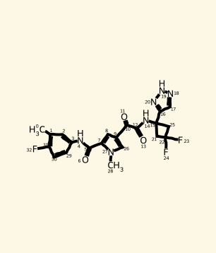 Cc1cc(NC(=O)c2cc(C(=O)C(=O)NC3(c4cn[nH]n4)CC(F)(F)C3)cn2C)ccc1F